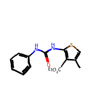 CCOC(=O)c1c(C)csc1NC(=O)Nc1ccccc1